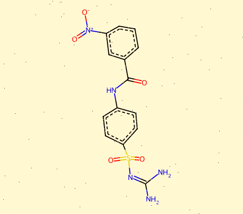 NC(N)=NS(=O)(=O)c1ccc(NC(=O)c2cccc([N+](=O)[O-])c2)cc1